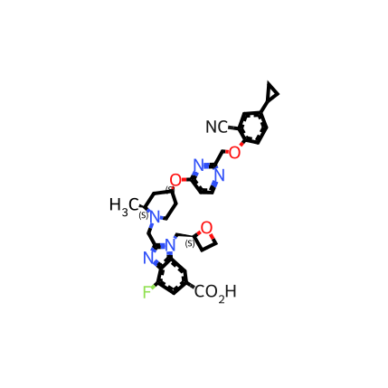 C[C@H]1C[C@@H](Oc2ccnc(COc3ccc(C4CC4)cc3C#N)n2)CCN1Cc1nc2c(F)cc(C(=O)O)cc2n1C[C@@H]1CCO1